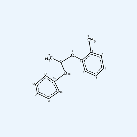 Cc1ccccc1OC(C)Oc1ccccc1